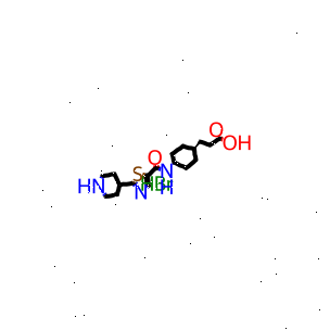 Br.O=C(O)CC[C@H]1CC[C@H](NC(=O)c2cnc(C3CCNCC3)s2)CC1